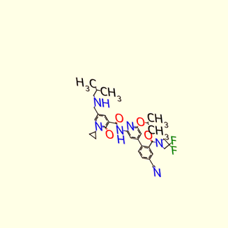 CC(C)CNCc1cc(C(=O)Nc2cc(-c3ccc(C#N)cc3C(=O)N3CC(F)(F)C3)cc(OC(C)C)n2)c(=O)n(C2CC2)c1